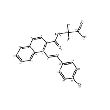 CC(C)(NC(=O)c1ccc2ccccc2c1C=Cc1ccc(Cl)cc1)C(=O)O